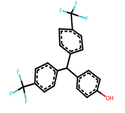 Oc1ccc(C(c2ccc(C(F)(F)F)cc2)c2ccc(C(F)(F)F)cc2)cc1